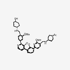 COc1cc(-c2nccc(-c3cccc(-c4ccc(CNC5CCN(C(C)=O)CC5)c(OC)n4)c3Cl)c2Cl)ccc1CN[C@H]1CC[C@H](O)CC1